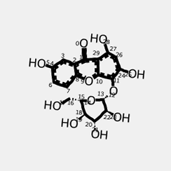 O=c1c2cc(O)ccc2oc2c(O[C@H]3O[C@@H](CO)[C@H](O)[C@@H](O)[C@@H]3O)c(O)cc(O)c12